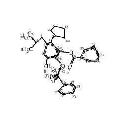 Cc1cc(CC(C)C)c(C2CCCC2)c(OC(=O)c2ccccc2)c1OC(=O)c1ccccc1